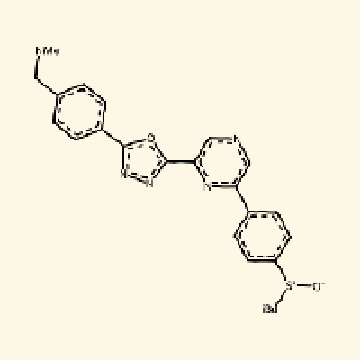 CCC(C)[S+]([O-])c1ccc(-c2cncc(-c3nnc(-c4ccc(CNC)cc4)o3)n2)cc1